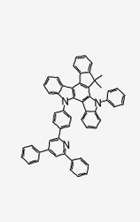 CC1(C)c2ccccc2-c2c1c1c(c3ccccc3n1-c1ccccc1)c1c2c2ccccc2n1-c1ccc(-c2cc(-c3ccccc3)cc(-c3ccccc3)n2)cc1